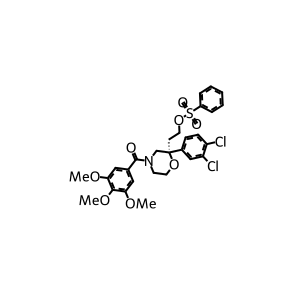 COc1cc(C(=O)N2CCO[C@](CCOS(=O)(=O)c3ccccc3)(c3ccc(Cl)c(Cl)c3)C2)cc(OC)c1OC